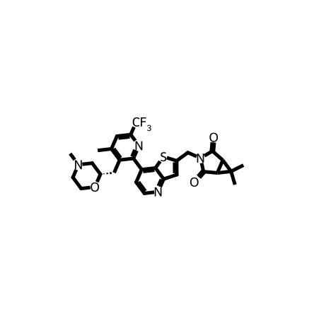 Cc1cc(C(F)(F)F)nc(-c2ccnc3cc(CN4C(=O)C5C(C4=O)C5(C)C)sc23)c1C[C@H]1CN(C)CCO1